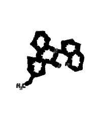 CCc1ccc2c(c1)c(=O)n(-c1cccc3cccnc13)c1ccccc21